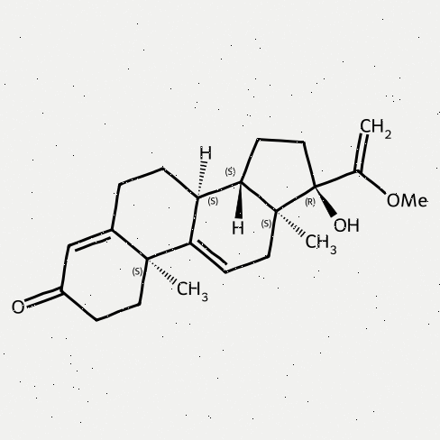 C=C(OC)[C@@]1(O)CC[C@H]2[C@@H]3CCC4=CC(=O)CC[C@]4(C)C3=CC[C@@]21C